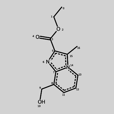 CCOC(=O)c1nc2c(CO)cccn2c1C